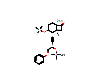 CO[C@@]12CC[C@H](O[Si](C)(C)C(C)(C)C)[C@@H](C#C[C@H](COc3ccccc3)O[Si](C)(C)C(C)(C)C)[C@@H]1CC2=O